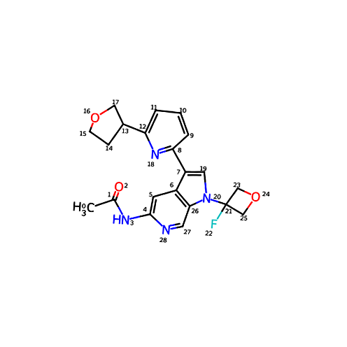 CC(=O)Nc1cc2c(-c3cccc(C4CCOC4)n3)cn(C3(F)COC3)c2cn1